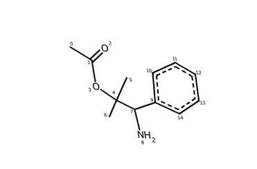 CC(=O)OC(C)(C)C(N)c1ccccc1